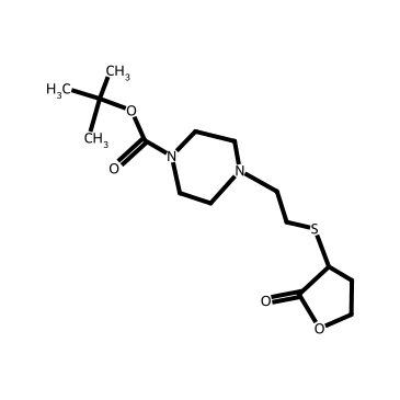 CC(C)(C)OC(=O)N1CCN(CCSC2CCOC2=O)CC1